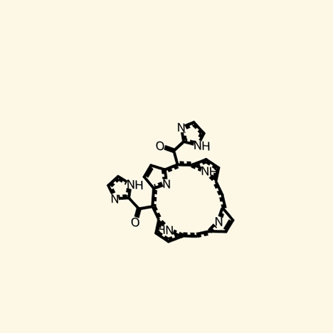 O=C(c1ncc[nH]1)c1c2nc(c(C(=O)c3ncc[nH]3)c3ccc(cc4nc(cc5ccc1[nH]5)C=C4)[nH]3)C=C2